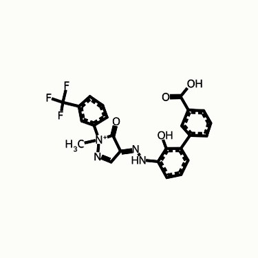 C[N+]1(c2cccc(C(F)(F)F)c2)N=CC(=NNc2cccc(-c3cccc(C(=O)O)c3)c2O)C1=O